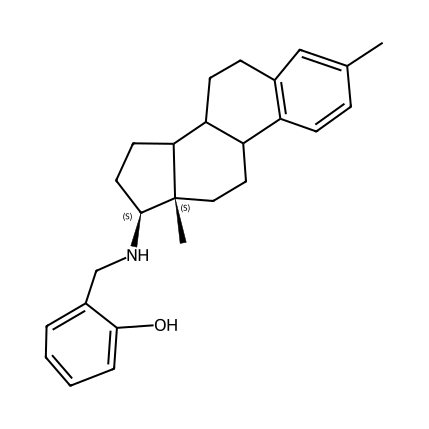 Cc1ccc2c(c1)CCC1C2CC[C@@]2(C)C1CC[C@@H]2NCc1ccccc1O